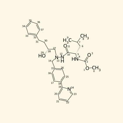 COC(=O)N[C@@H](CC(C)C)C(=O)NN(Cc1ccc(-c2ccccn2)cc1)C[C@H](O)CCc1ccccc1